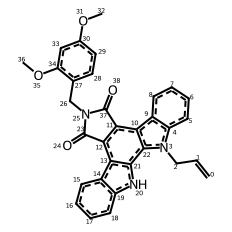 C=CCn1c2ccccc2c2c3c(c4c5ccccc5[nH]c4c21)C(=O)N(Cc1ccc(OC)cc1OC)C3=O